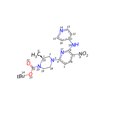 C[C@H]1CN(c2ccc([N+](=O)[O-])c(Nc3ccncc3)n2)CCN1C(=O)OC(C)(C)C